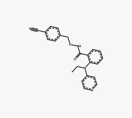 CCN(c1ccncc1)c1ccccc1C(=O)NOCc1ccc(C#N)cc1